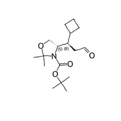 CC(C)(C)OC(=O)N1[C@@H]([C@H](CC=O)C2CCC2)COC1(C)C